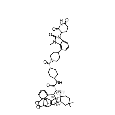 Cn1c(=O)n(C2CCC(=O)NC2=O)c2cccc(C3CCN(C(=O)[C@H]4CC[C@H](NC(=O)[C@@H]5NC6(CCC(C)(C)CC6)[C@@]6(C(=O)Nc7cc(Cl)ccc76)[C@H]5c5cccc(Cl)c5F)CC4)CC3)c21